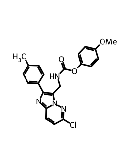 COc1ccc(OC(=O)NCc2c(-c3ccc(C)cc3)nc3ccc(Cl)nn23)cc1